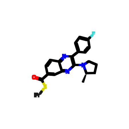 CC(C)SC(=O)c1ccc2nc(-c3ccc(F)cc3)c(N3CCC[C@@H]3C)nc2c1